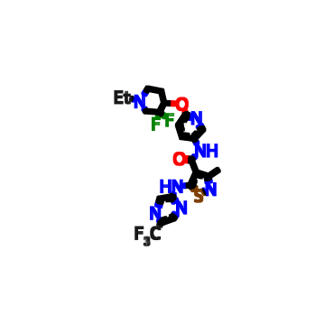 CCN1CCC(Oc2ccc(NC(=O)c3c(C)nsc3Nc3cnc(C(F)(F)F)cn3)cn2)C(F)(F)C1